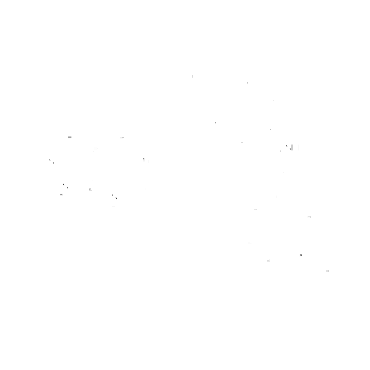 O=S(=O)(Nc1ccc(F)c(C#Cc2cnc3[nH]ncc3c2)c1F)c1ccc(F)c(Cl)c1